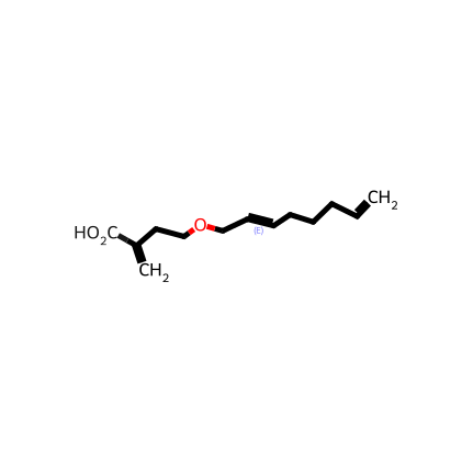 C=CCCC/C=C/COCCC(=C)C(=O)O